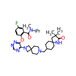 CC(C)N(C)C(=O)c1cc(F)ccc1Oc1nncnc1N1CC2(CCN(CC3CCC4(CC3)CC(C)(C)C(=O)N4)CC2)C1